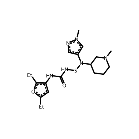 CCc1cc(NC(=O)NSN(c2cnn(C)c2)C2CCCN(C)C2)c(CC)o1